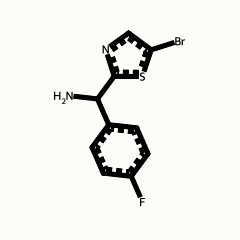 NC(c1ccc(F)cc1)c1ncc(Br)s1